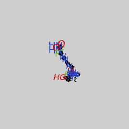 CCc1cccc2cc(O)cc(-c3ncc4c(N5CC6CCC(C5)N6)nc(OCC5(CN6CCC7(CC6)CC(N6CCN(c8cc(F)c(NC9CCC(=O)NC9=O)c(F)c8)CC6)C7)CC5)nc4c3F)c12